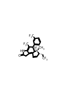 CN1[C@H](CC(F)(F)F)C=CC2=C3CC(=O)NC3=C(C(F)(F)F)C(c3cccc(C(F)(F)F)c3)[C@H]21